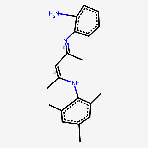 C/C(=C/C(C)=N/c1ccccc1N)Nc1c(C)cc(C)cc1C